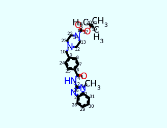 Cn1c(NC(=O)c2ccc(CN3CCN(C(=O)OC(C)(C)C)CC3)cc2)nc2ccccc21